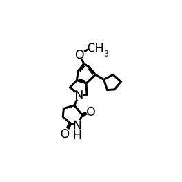 COc1cc2c(c(C3CCCC3)c1)CN(C1CCC(=O)NC1=O)C2